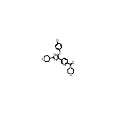 O=C(c1ccc(-c2nc(C3CCOCC3)oc2Sc2ccc(Cl)cc2)cn1)N1CCOCC1